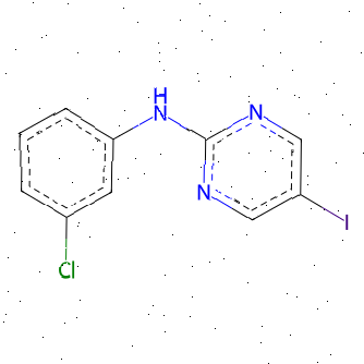 Clc1cccc(Nc2ncc(I)cn2)c1